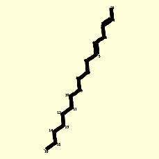 [CH2]C=CCC=CCCCCCCCCCC[CH2]